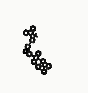 CC1(C)c2ccc(-c3ccc4oc5ccc(-c6c7ccccc7c(-c7ccc8c(c7)C7(c9ccccc9-c9ccccc97)c7ccccc7-8)c7ccccc67)cc5c4c3)cc2-c2c1c1ccccc1c1ccccc21